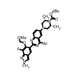 COCOc1c(-c2nc(C(C)=O)c3cc(N4C[C@@H](C)N(C(=O)OC(C)(C)C)[C@@H](C)C4)ccc3n2)cc2cn(C)nc2c1F